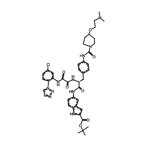 CN(C)CCOC1CCN(C(=O)Nc2ccc(C[C@H](NC(=O)C(=O)Nc3cc(Cl)ccc3-n3cnnn3)C(=O)Nc3ccc4[nH]c(C(=O)OC(C)(C)C)cc4c3)cc2)CC1